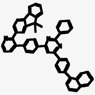 CC1(C)c2ccccc2-c2ccc(-c3ncccc3-c3ccc(-c4cc(-c5ccc(-c6cccc7ccccc67)cc5)nc(-c5ccccc5)n4)cc3)cc21